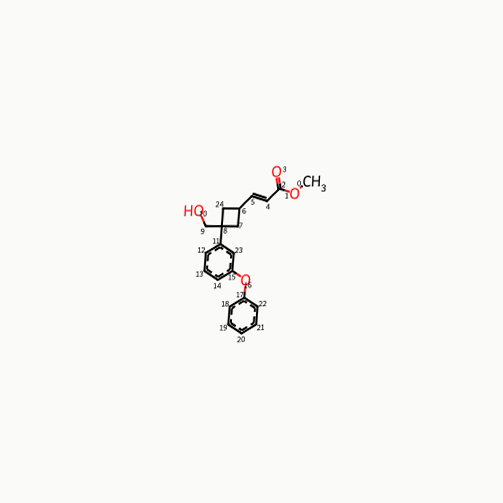 COC(=O)C=CC1CC(CO)(c2cccc(Oc3ccccc3)c2)C1